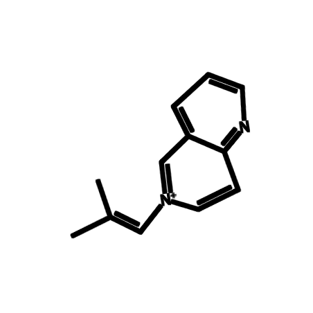 CC(C)=C[n+]1ccc2ncccc2c1